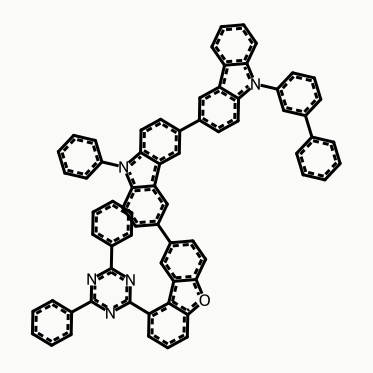 c1ccc(-c2cccc(-n3c4ccccc4c4cc(-c5ccc6c(c5)c5cc(-c7ccc8oc9cccc(-c%10nc(-c%11ccccc%11)nc(-c%11ccccc%11)n%10)c9c8c7)ccc5n6-c5ccccc5)ccc43)c2)cc1